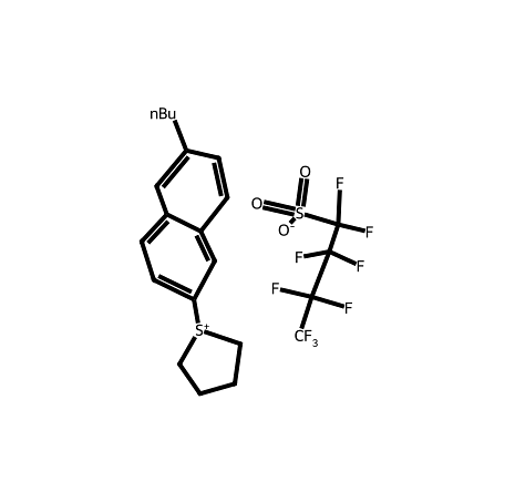 CCCCc1ccc2cc([S+]3CCCC3)ccc2c1.O=S(=O)([O-])C(F)(F)C(F)(F)C(F)(F)C(F)(F)F